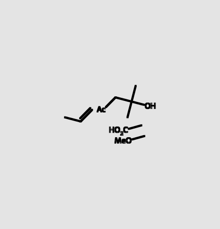 C=CC.CC(=O)CC(C)(C)O.CC(=O)O.COC